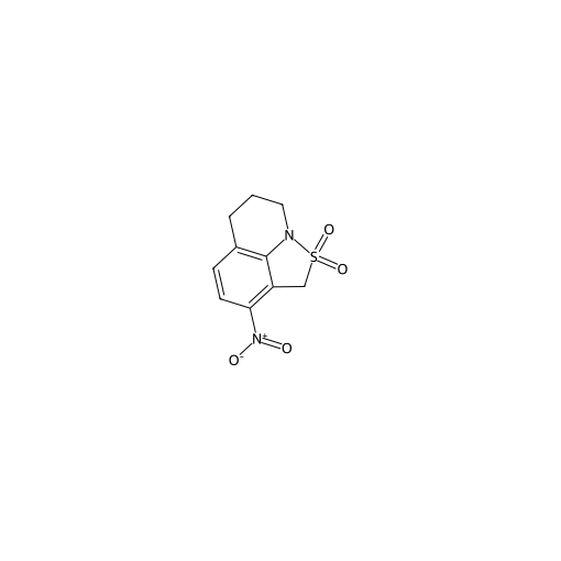 O=[N+]([O-])c1ccc2c3c1CS(=O)(=O)N3CCC2